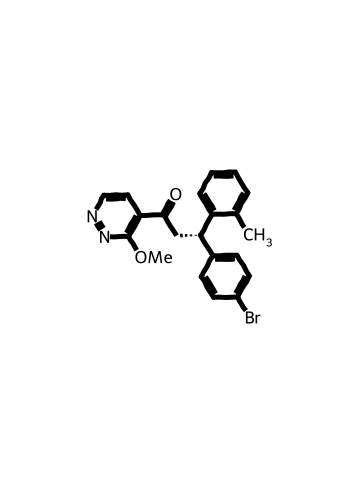 COc1nnccc1C(=O)C[C@@H](c1ccc(Br)cc1)c1ccccc1C